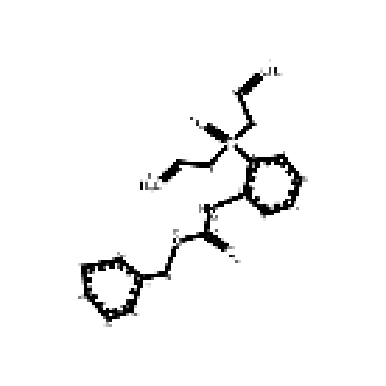 C=CCP(=O)(CC=C)c1ccccc1NC(=O)OCc1ccccc1